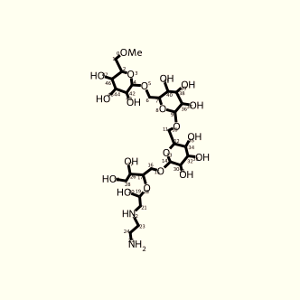 COCC1OC(OCC2OC(OCC3OC(OCC(OC(O)CNCCN)C(O)CO)C(O)C(O)C3O)C(O)C(O)C2O)C(O)C(O)C1O